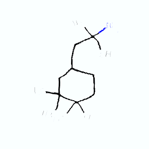 CC(C)(N)CC1CCC(C)(C)C(C)(C)C1